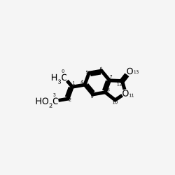 CC(=CC(=O)O)c1ccc2c(c1)COC2=O